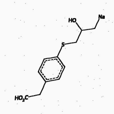 O=C(O)Cc1ccc(SCC(O)[CH2][Na])cc1